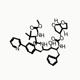 COC(=O)N[C@H](C(=O)N[C@H](Cc1ccc(-c2ccccn2)cc1)C[C@@H](O)[C@H](Cc1ccccc1)NC(=O)O[C@H]1CO[C@H]2OCC[C@H]21)C(C)(C)C